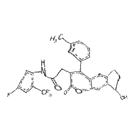 Cc1cccc(-c2c(CC(=O)Nc3ccc(F)cc3C(F)(F)F)c(=O)oc3cc4c(cc23)CCC4O)c1